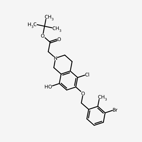 Cc1c(Br)cccc1COc1cc(O)c2c(c1Cl)CCN(CC(=O)OC(C)(C)C)C2